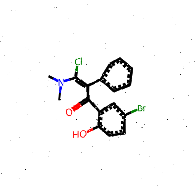 CN(C)/C(Cl)=C(\C(=O)c1cc(Br)ccc1O)c1ccccc1